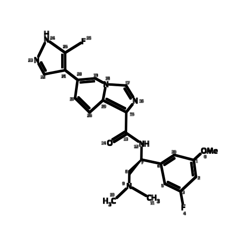 COc1cc(F)cc([C@@H](CN(C)C)NC(=O)c2ncn3cc(-c4cn[nH]c4F)ccc23)c1